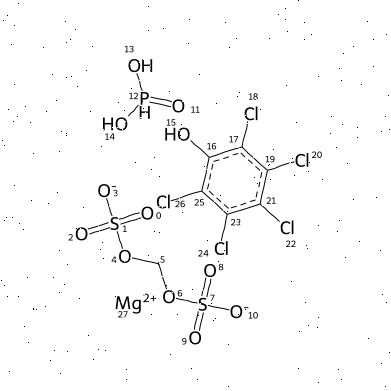 O=S(=O)([O-])OCOS(=O)(=O)[O-].O=[PH](O)O.Oc1c(Cl)c(Cl)c(Cl)c(Cl)c1Cl.[Mg+2]